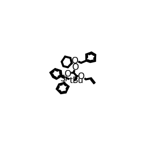 C=CCOC(C)C(OC1(OCc2ccccc2)CCCCC1)O[Si](c1ccccc1)(c1ccccc1)C(C)(C)C